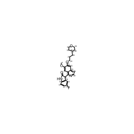 COc1cc2c(C3C(=O)Nc4ccc(F)cc43)ncnc2cc1OCCCN1CCOCC1